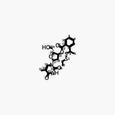 CCSSC(C)c1ccccc1C(=O)OC1C[C@H](n2cc(C)c(=O)[nH]c2=O)O[C@@H]1CO